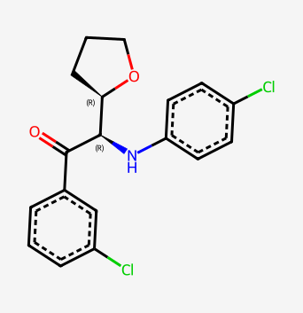 O=C(c1cccc(Cl)c1)[C@H](Nc1ccc(Cl)cc1)[C@H]1CCCO1